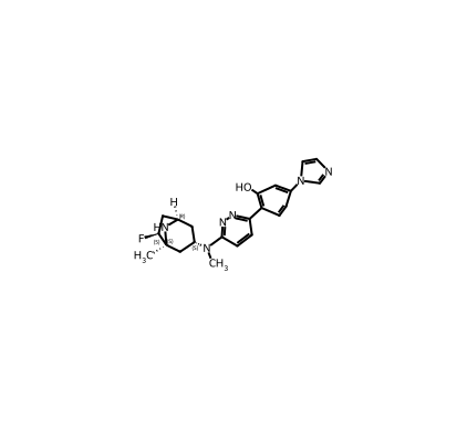 CN(c1ccc(-c2ccc(-n3ccnc3)cc2O)nn1)[C@H]1C[C@@H]2C[C@H](F)[C@](C)(C1)N2